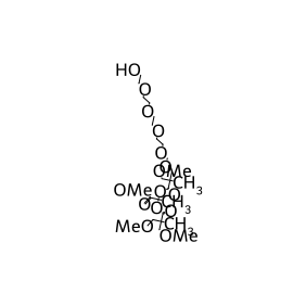 COCC(C)(COC)C(=O)OC(C)(OC(=O)C(C)(COC)COCOCCOCCOCCOCCO)C(=O)OC